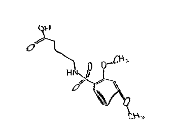 COc1ccc(S(=O)(=O)NCCCC(=O)O)c(OC)c1